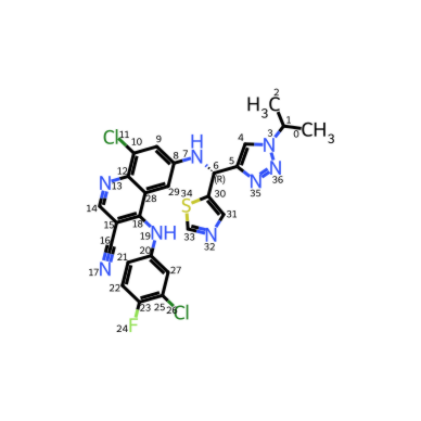 CC(C)n1cc([C@@H](Nc2cc(Cl)c3ncc(C#N)c(Nc4ccc(F)c(Cl)c4)c3c2)c2cncs2)nn1